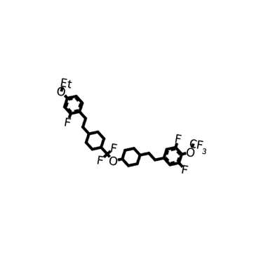 CCOc1ccc(CCC2CCC(C(F)(F)OC3CCC(CCc4cc(F)c(OC(F)(F)F)c(F)c4)CC3)CC2)c(F)c1